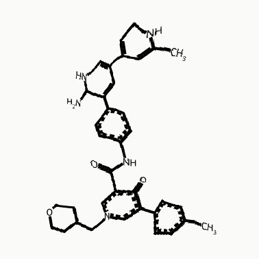 CC1=CC(C2=CNC(N)C(c3ccc(NC(=O)c4cn(CC5CCOCC5)cc(-c5ccc(C)cc5)c4=O)cc3)=C2)=CCN1